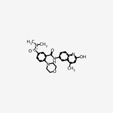 Cc1cc(O)nc2ccc(NC(=O)c3cc([S+]([O-])N(C)C)ccc3N3CCOCC3)cc12